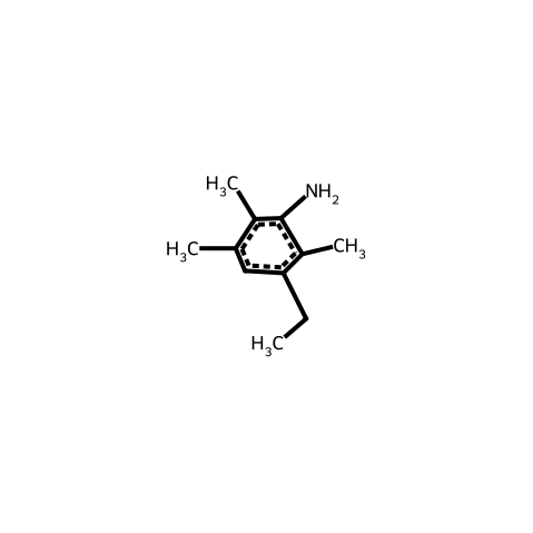 CCc1cc(C)c(C)c(N)c1C